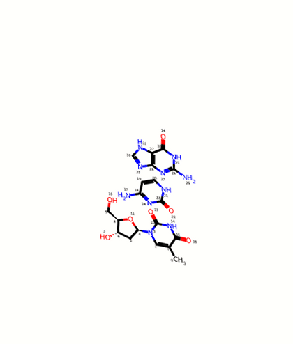 Cc1cn([C@H]2C[C@H](O)[C@@H](CO)O2)c(=O)[nH]c1=O.Nc1cc[nH]c(=O)n1.Nc1nc2nc[nH]c2c(=O)[nH]1